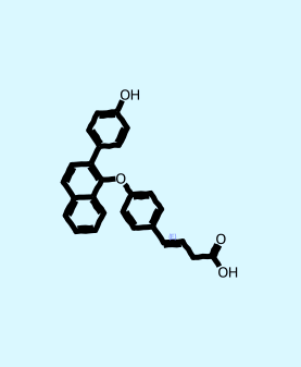 O=C(O)C/C=C/c1ccc(Oc2c(-c3ccc(O)cc3)ccc3ccccc23)cc1